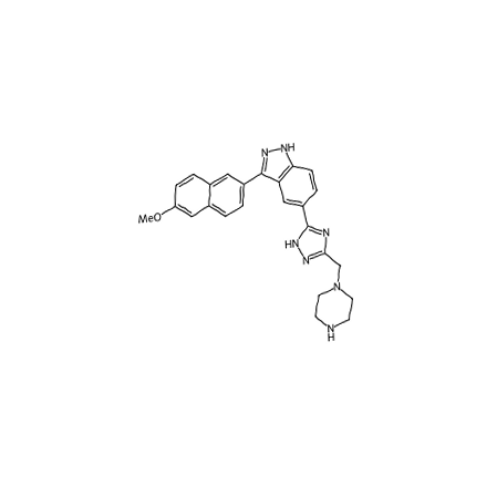 COc1ccc2cc(-c3n[nH]c4ccc(-c5nc(CN6CCNCC6)n[nH]5)cc34)ccc2c1